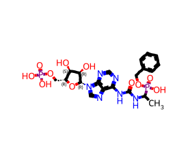 CC(NC(=O)Nc1ncnc2c1ncn2[C@@H]1O[C@H](COP(=O)(O)O)[C@@H](O)[C@H]1O)P(=O)(O)OCc1ccccc1